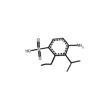 CCc1c(S(=O)(=O)O)ccc(N)c1C(C)C